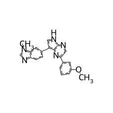 COc1cccc(-c2cnc3[nH]cc(-c4ccc5ncn(C)c5c4)c3n2)c1